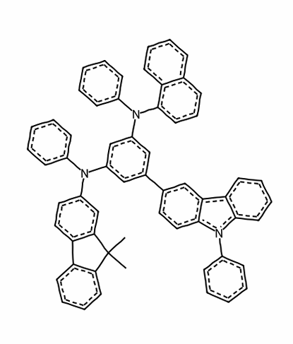 CC1(C)c2ccccc2-c2ccc(N(c3ccccc3)c3cc(-c4ccc5c(c4)c4ccccc4n5-c4ccccc4)cc(N(c4ccccc4)c4cccc5ccccc45)c3)cc21